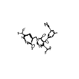 COc1nnc(C(F)F)cc1Cn1cnc(C(F)F)c(Oc2cc(C)cc(C#N)c2)c1=O